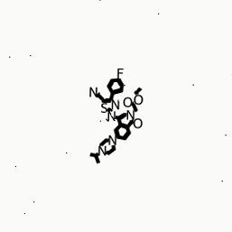 CCOC(=O)Cn1cc(N(C)c2nc(-c3ccc(F)cc3)c(C#N)s2)c2cc(N3CCN(C(C)C)CC3)ccc2c1=O